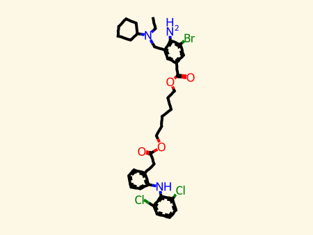 CCN(Cc1cc(C(=O)OCCCCCCOC(=O)Cc2ccccc2Nc2c(Cl)cccc2Cl)cc(Br)c1N)C1CCCCC1